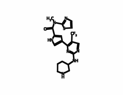 CN(C(=O)c1cc(-c2nc(NC3CCCNC3)ncc2C(F)(F)F)c[nH]1)c1nccs1